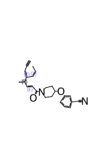 C#C/C=C(\C=C/C)[C@H](C)/C=C/C(=O)N1CCC(Oc2cccc(C#N)c2)CC1